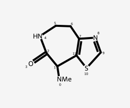 CNC1C(=O)NCCc2ncsc21